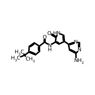 CC(C)(C)c1ccc(C(=O)Nc2cc(-c3cc(N)ncn3)c[nH]c2=O)cc1